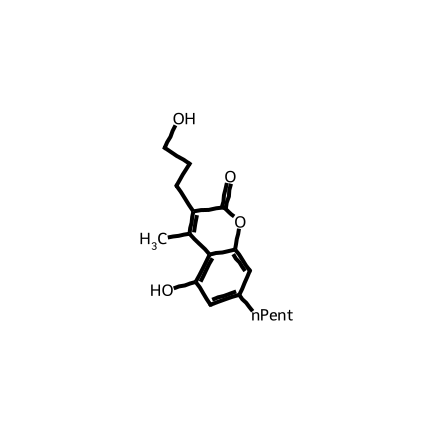 CCCCCc1cc(O)c2c(C)c(CCCO)c(=O)oc2c1